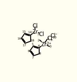 [CH3][Zr+2]([CH3])([CH3])[C]1=CC=CC1.[Cl-].[Cl-].[Cl][Zr]([Cl])[C]1=CC=CC1